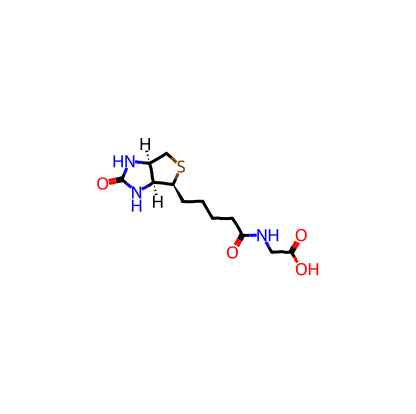 O=C(O)CNC(=O)CCCC[C@@H]1SC[C@@H]2NC(=O)N[C@@H]21